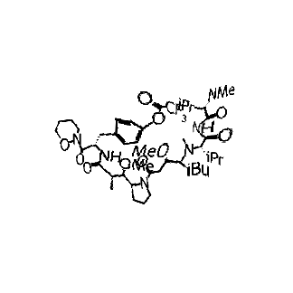 CC[C@H](C)[C@@H]([C@@H](CC(=O)N1CCC[C@H]1[C@H](OC)[C@@H](C)C(=O)N[C@@H](Cc1ccc(OC(=O)C(F)(F)F)cc1)C(=O)N1CCCCO1)OC)N(C)[C@H](C(=O)NC(=O)[C@@H](NC)C(C)C)C(C)C